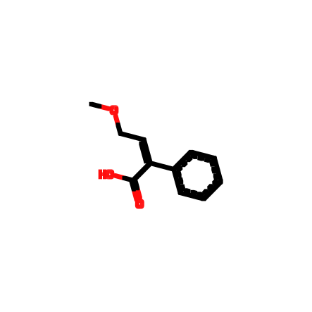 COCC=C(C(=O)O)c1ccccc1